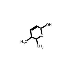 CC1C=CB(O)OC1C